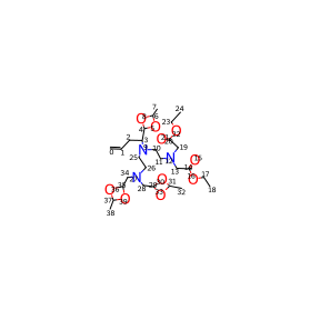 C=CCC(C1OC(C)O1)N(CCN(CC(=O)OCC)CC(=O)OCC)CCN(CC1OC(C)O1)CC1OC(C)O1